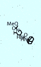 COCC(=O)N1CCC(NC(=O)NC23CC4CC(CC(C4)C2)C3)CC1I